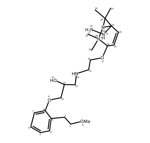 COCCc1ccccc1OCC(O)CNCCOC1C=CC2(NN)N(C2(C)C)[N+]1(C)C